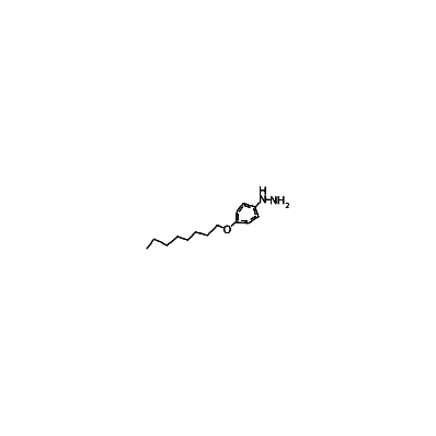 CCCCCCCCOc1ccc(NN)cc1